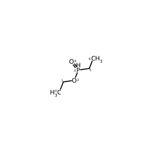 CCO[PH](=O)CC